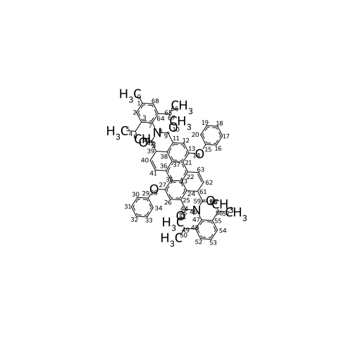 Cc1cc(C(C)C)c(N2C(=O)c3cc(Oc4ccccc4)c4c5c6c7c(cc(Oc8ccccc8)c6c6c4c3C(C=C6)C2=O)C(=O)N(c2c(C(C)C)cccc2C(C)C)C(=O)C7C=C5)c(C(C)C)c1